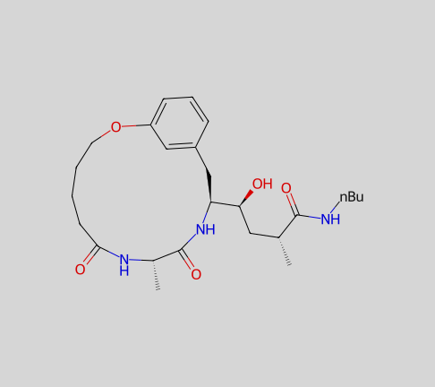 CCCCNC(=O)[C@H](C)C[C@H](O)[C@@H]1Cc2cccc(c2)OCCCCC(=O)N[C@@H](C)C(=O)N1